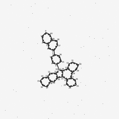 c1ccc2cc(-c3ccc(-n4c5cc6ccccc6cc5c5c6ccccc6c6ccccc6c54)cc3)ccc2c1